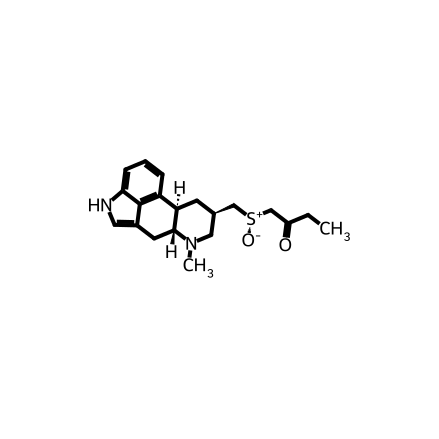 CCC(=O)C[S@+]([O-])C[C@@H]1C[C@@H]2c3cccc4[nH]cc(c34)C[C@H]2N(C)C1